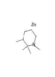 CC1CCCN(C)C1(C)C.[Zn]